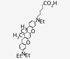 CCN(CC)c1ccc2c(c1)OC1=C(C2)C(C)(C)C2=Cc3ccc(N(CC)CCCCCC(=O)O)cc3OC2=C1